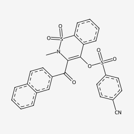 CN1C(C(=O)c2ccc3ccccc3c2)=C(OS(=O)(=O)c2ccc(C#N)cc2)c2ccccc2S1(=O)=O